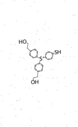 OCCc1ccc([S+](c2ccc(S)cc2)c2ccc(CCO)cc2)cc1